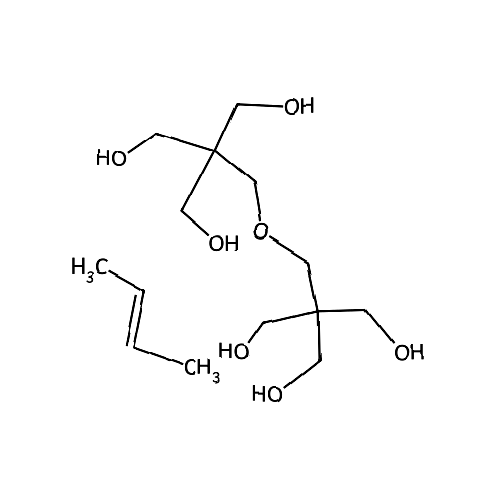 CC=CC.OCC(CO)(CO)COCC(CO)(CO)CO